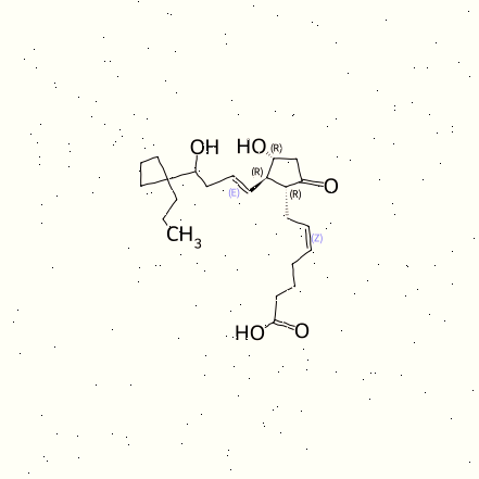 CCCC1(C(O)C/C=C/[C@H]2[C@H](O)CC(=O)[C@@H]2C/C=C\CCCC(=O)O)CCC1